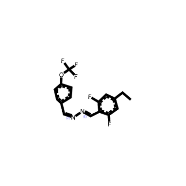 CCc1cc(F)c(/C=N/N=C\c2ccc(OC(F)(F)F)cc2)c(F)c1